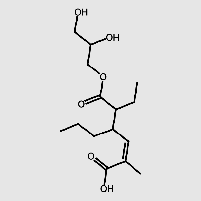 CCCC(C=C(C)C(=O)O)C(CC)C(=O)OCC(O)CO